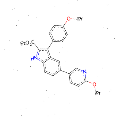 CCOC(=O)c1[nH]c2ccc(-c3ccc(OC(C)C)nc3)cc2c1-c1ccc(OC(C)C)cc1